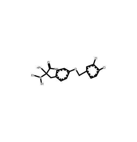 CCCC(Cc1ccc(OCc2ccc(Cl)c(Cl)c2)cc1)(C(N)=O)N(CC)CC